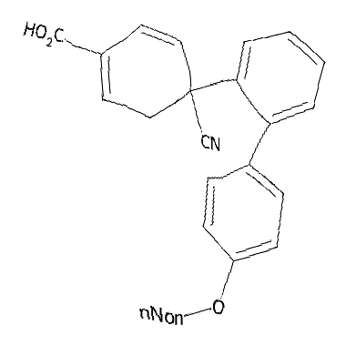 CCCCCCCCCOc1ccc(-c2ccccc2C2(C#N)C=CC(C(=O)O)=CC2)cc1